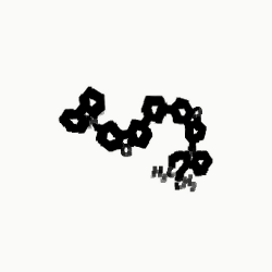 C=Cc1c(/C=C\C)n(-c2ccc3oc4ccc(-c5cccc(-c6ccc7oc8ccc(-n9c%10ccccc%10c%10ccccc%109)cc8c7c6)c5)cc4c3c2)c2ccccc12